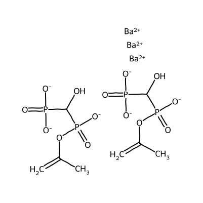 C=C(C)OP(=O)([O-])C(O)P(=O)([O-])[O-].C=C(C)OP(=O)([O-])C(O)P(=O)([O-])[O-].[Ba+2].[Ba+2].[Ba+2]